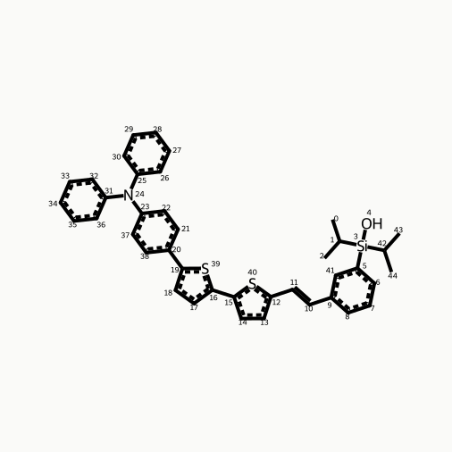 CC(C)[Si](O)(c1cccc(C=Cc2ccc(-c3ccc(-c4ccc(N(c5ccccc5)c5ccccc5)cc4)s3)s2)c1)C(C)C